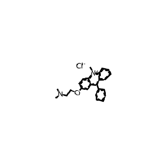 CN(C)CCOc1ccc2c(c1)c(-c1ccccc1)c1ccccc1[n+]2C.[Cl-]